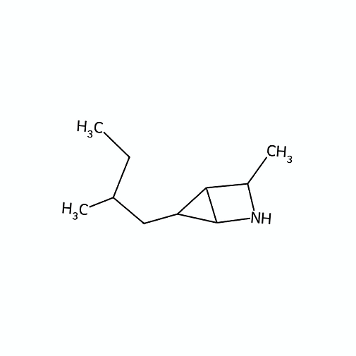 CCC(C)CC1C2NC(C)C12